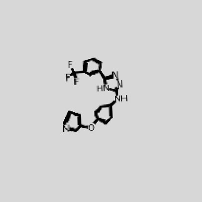 FC(F)(F)c1cccc(-c2nnc(Nc3ccc(Oc4cccnc4)cc3)[nH]2)c1